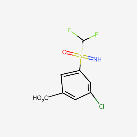 N=[S@](=O)(c1cc(Cl)cc(C(=O)O)c1)C(F)F